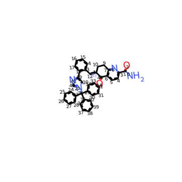 NC(=O)c1ccc2c(n1)CC/C(=C\c1ccccc1-c1cn(C(c3ccccc3)(c3ccccc3)c3ccccc3)cn1)C2=O